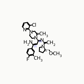 C=C(/N=C(\C=C(/N)c1ccc(F)c(C)c1)N1CCN(c2ncccc2Cl)C[C@H]1C)N1CCC[C@H]1COC